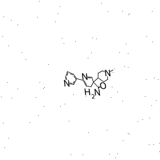 CN1CCC(C2(C(N)=O)C=NC(c3cccnc3)=CC2)CC1